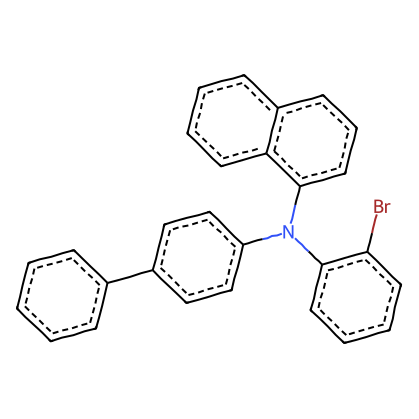 Brc1ccccc1N(c1ccc(-c2ccccc2)cc1)c1cccc2ccccc12